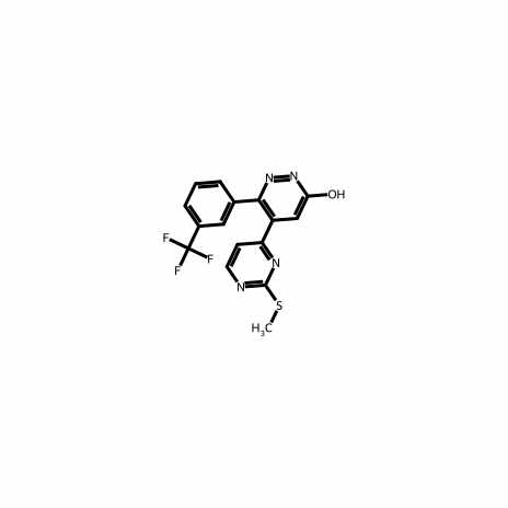 CSc1nccc(-c2cc(O)nnc2-c2cccc(C(F)(F)F)c2)n1